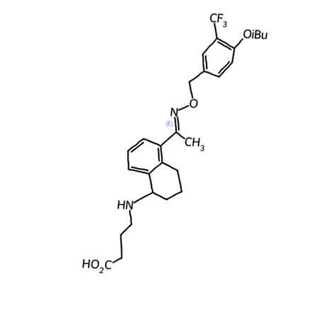 C/C(=N\OCc1ccc(OCC(C)C)c(C(F)(F)F)c1)c1cccc2c1CCCC2NCCCC(=O)O